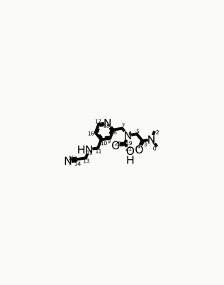 CN(C)C(=O)CN(Cc1cc(CNCC#N)ccn1)C(=O)O